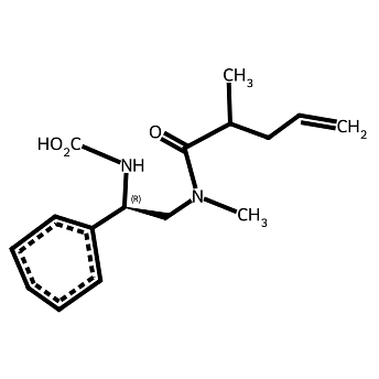 C=CCC(C)C(=O)N(C)C[C@H](NC(=O)O)c1ccccc1